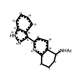 CC(=O)NC1CCCc2nc(-c3n[nH]c4ccccc34)ccc21